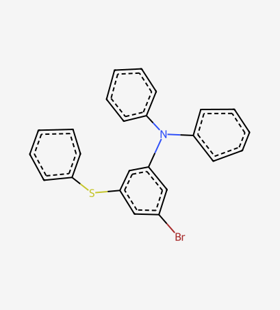 Brc1cc(Sc2ccccc2)cc(N(c2ccccc2)c2ccccc2)c1